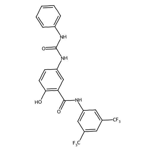 O=C(Nc1ccccc1)Nc1ccc(O)c(C(=O)Nc2cc(C(F)(F)F)cc(C(F)(F)F)c2)c1